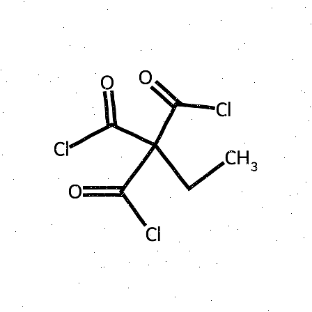 CCC(C(=O)Cl)(C(=O)Cl)C(=O)Cl